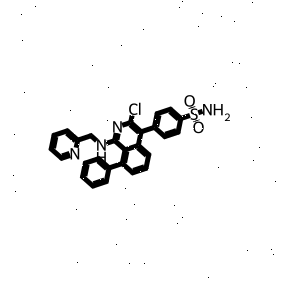 NS(=O)(=O)c1ccc(-c2c(Cl)nc(NCc3ccccn3)c3c(-c4ccccc4)cccc23)cc1